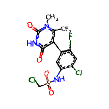 Cn1c(C(F)(F)F)c(-c2cc(NS(=O)(=O)CCl)c(Cl)cc2F)c(=O)[nH]c1=O